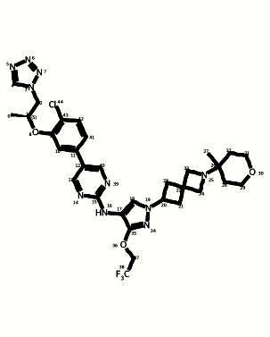 C[C@@H](Cn1cnnn1)Oc1cc(-c2cnc(Nc3cn(C4CC5(C4)CN(C4(C)CCOCC4)C5)nc3OCC(F)(F)F)nc2)ccc1Cl